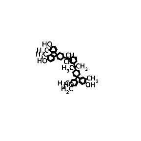 C=C(O)/C=C\C(=C/CC)C1(c2ccc(O)c(C)c2)CCC(C(C)(C)C2CCCC(C(C)(C)C3CCC(C4=CC(C)[C@H](O)C=C4)(c4ccc(O)c(C)c4)CC3)C2)CC1